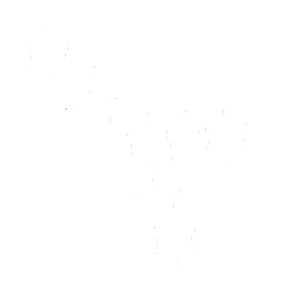 O=C(OCC(COC(=O)Oc1ccccc1)OC(=O)Oc1ccccc1)Oc1ccccc1